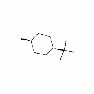 CC(C)(C)[C@H]1CC[C@@H](C)CC1